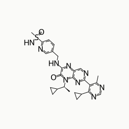 Cc1ncnc(C2CC2)c1-c1ncc2nc(NCc3ccc(S(C)(=N)=O)nc3)c(=O)n([C@@H](C)C3CC3)c2n1